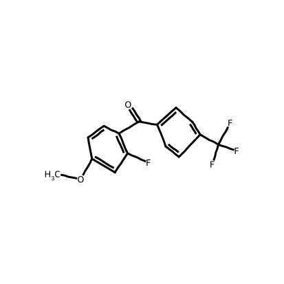 COc1ccc(C(=O)c2ccc(C(F)(F)F)cc2)c(F)c1